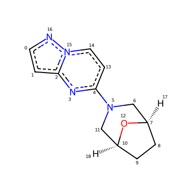 c1cc2nc(N3C[C@H]4CC[C@@H](C3)O4)ccn2n1